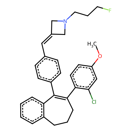 COc1ccc(C2=C(c3ccc(C=C4CN(CCCF)C4)cc3)c3ccccc3CCC2)c(Cl)c1